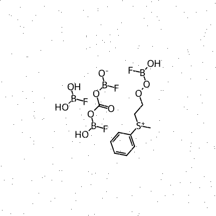 C[S+](CCOOB(O)F)c1ccccc1.O=C(OB([O-])F)OB(O)F.OB(O)F